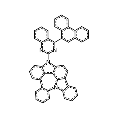 c1ccc2c(c1)cc(-c1nc(-n3c4cccc5c6ccccc6n6c7ccccc7c7ccc3c(c54)c76)nc3ccccc13)c1ccccc12